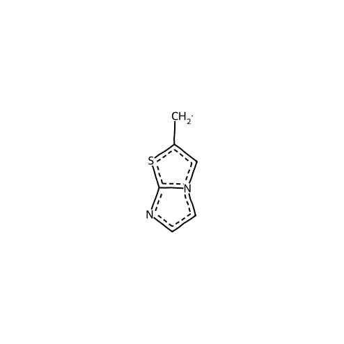 [CH2]c1cn2ccnc2s1